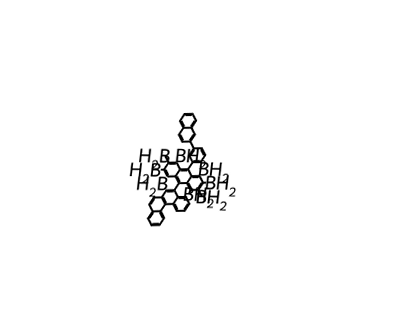 Bc1c(B)c(B)c2c(-c3cc4ccc5ccccc5c4c4ccccc34)c3c(B)c(B)c(B)c(B)c3c(-c3cccc(-c4ccc5ccccc5c4)c3)c2c1B